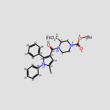 CCOC(=O)C1CN(C(=O)OC(C)(C)C)CCN1C(=O)c1cc(C)n(-c2ccccc2)c1-c1ccccc1